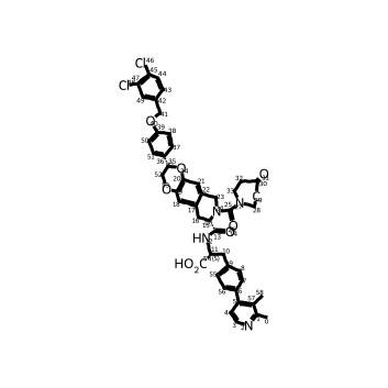 Cc1nccc(-c2ccc(C[C@H](NC(=O)[C@@H]3Cc4cc5c(cc4CN3C(=O)N3CCC(=O)CC3)O[C@@H](c3ccc(OCc4ccc(Cl)c(Cl)c4)cc3)CO5)C(=O)O)cc2)c1C